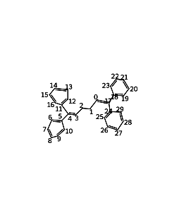 C(CCC=C(c1ccccc1)c1ccccc1)=C(c1ccccc1)c1ccccc1